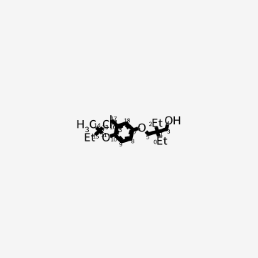 CCC(CC)(CO)COc1ccc(OC(C)(C)CC)c(I)c1